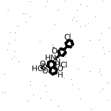 COc1cc(-c2cccc(Cl)c2)ccc1-c1nc2c(cc(S(=O)(=O)O)c3cccc(O)c32)[nH]1.Cl